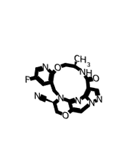 C[C@@H]1COc2ncc(F)cc2CN2c3nc4c(cnn4cc3OC[C@H]2C#N)C(=O)N1